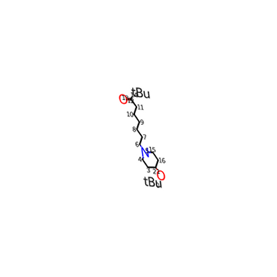 CC(C)(C)OC1CCN(CCCCCCC(=O)C(C)(C)C)CC1